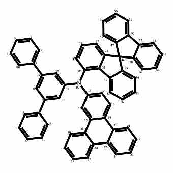 c1ccc(-c2cc(-c3ccccc3)cc(N(c3ccc4c5ccccc5c5ccccc5c4c3)c3cccc4c3-c3ccccc3C43c4ccccc4-c4ccccc43)c2)cc1